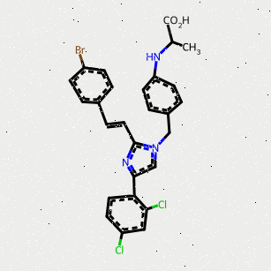 CC(Nc1ccc(Cn2cc(-c3ccc(Cl)cc3Cl)nc2/C=C/c2ccc(Br)cc2)cc1)C(=O)O